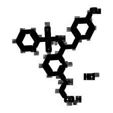 CC(C)(C)c1ccc(CC(NS(=O)(=O)c2ccccn2)c2cccc(NCC(=O)O)n2)cc1.Cl